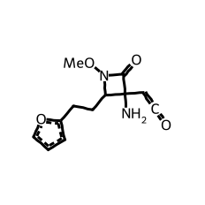 CON1C(=O)C(N)(C=C=O)C1CCc1ccco1